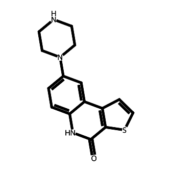 O=c1[nH]c2ccc(N3CCNCC3)cc2c2ccsc12